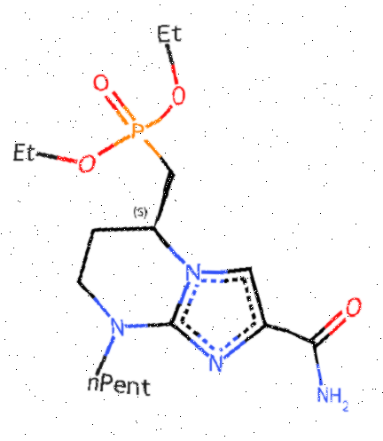 CCCCCN1CC[C@@H](CP(=O)(OCC)OCC)n2cc(C(N)=O)nc21